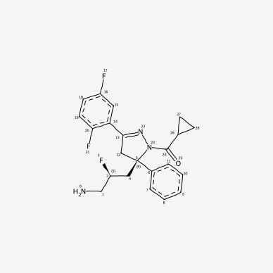 NC[C@@H](F)C[C@@]1(c2ccccc2)CC(c2cc(F)ccc2F)=NN1C(=O)C1CC1